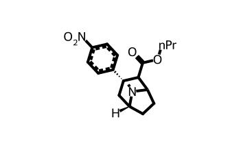 CCCOC(=O)C1C2CC[C@H](C[C@@H]1c1ccc([N+](=O)[O-])cc1)N2C